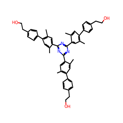 Cc1cc(-c2nc(-c3cc(C)c(-c4ccc(CCO)cc4)cc3C)nc(-c3cc(C)c(-c4ccc(CCO)cc4)cc3C)n2)c(C)cc1-c1ccc(CCO)cc1